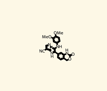 COc1ccc(Nc2c(-c3ccc4c(c3)NC(=O)OC4)[nH]c3c(C#N)cnn23)cc1OC